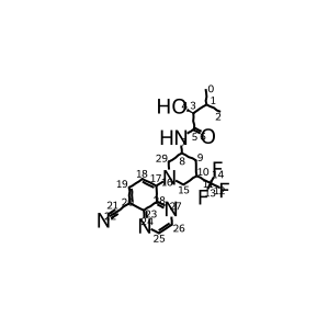 CC(C)[C@H](O)C(=O)NC1CC(C(F)(F)F)CN(c2ccc(C#N)c3nccnc23)C1